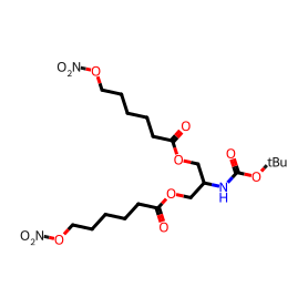 CC(C)(C)OC(=O)NC(COC(=O)CCCCCO[N+](=O)[O-])COC(=O)CCCCCO[N+](=O)[O-]